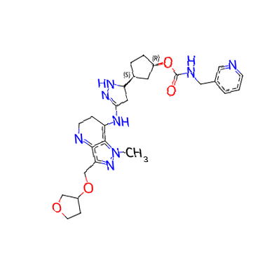 Cn1nc(COC2CCOC2)c2c1=C(NC1=NNC([C@H]3CC[C@@H](OC(=O)NCc4cccnc4)C3)C1)CCN=2